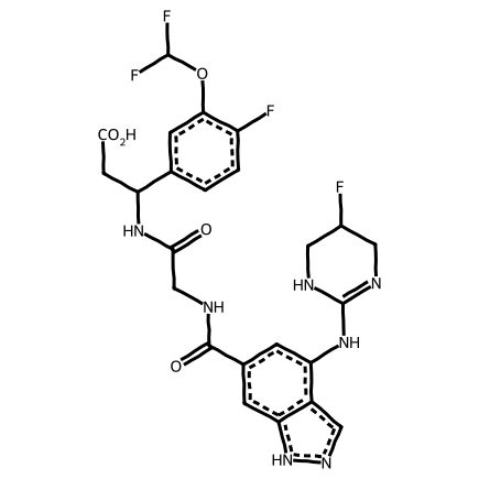 O=C(O)CC(NC(=O)CNC(=O)c1cc(NC2=NCC(F)CN2)c2cn[nH]c2c1)c1ccc(F)c(OC(F)F)c1